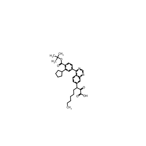 CCCCCCC(C(=O)C(=O)O)c1ccc2c(-c3ccc(C(=O)OC(C)(C)C)c(C4CCCC4)c3)ncnc2c1